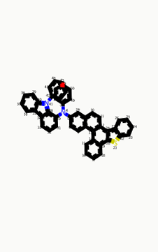 c1ccc(N(c2ccc3c(ccc4c3c3ccccc3c3sc5ccccc5c43)c2)c2cccc3c4ccccc4n(-c4ccccc4)c23)cc1